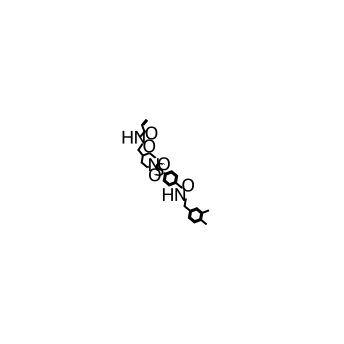 C=CC(=O)NC1CC2CCN(S(=O)(=O)c3ccc(C(=O)NCCc4ccc(C)c(C)c4)cc3)CC2O1